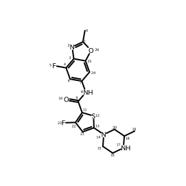 Cc1nc2c(F)cc(NC(=O)c3sc(N4CCNC(C)C4)cc3F)cc2o1